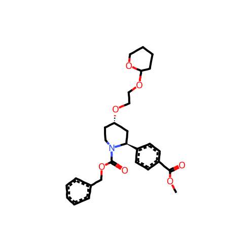 COC(=O)c1ccc([C@@H]2C[C@@H](OCCOC3CCCCO3)CCN2C(=O)OCc2ccccc2)cc1